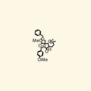 COC(=O)C1(COCc2ccccc2)N(Cc2ccc(OC)cc2)C(=O)[C@@H]2CC[Si](C)(C)O[C@@]21C